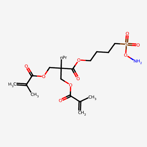 C=C(C)C(=O)OCC(CCC)(COC(=O)C(=C)C)C(=O)OCCCCS(=O)(=O)ON